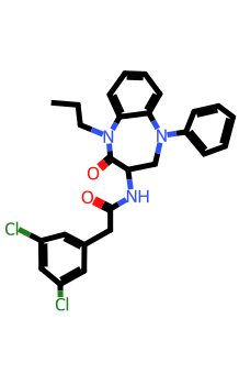 CCCN1C(=O)C(NC(=O)Cc2cc(Cl)cc(Cl)c2)CN(c2ccccc2)c2ccccc21